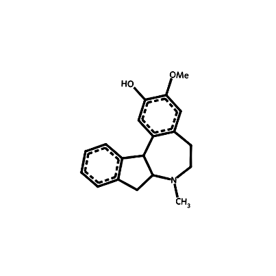 COc1cc2c(cc1O)C1c3ccccc3CC1N(C)CC2